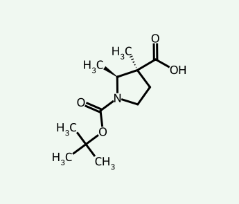 C[C@@H]1N(C(=O)OC(C)(C)C)CC[C@]1(C)C(=O)O